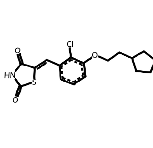 O=C1NC(=O)/C(=C/c2cccc(OCCC3CCCC3)c2Cl)S1